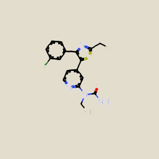 CCc1nc(-c2cccc(Cl)c2)c(-c2ccnc(N(CC)C(N)=O)c2)s1